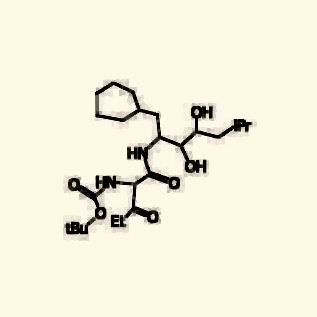 CCC(=O)C(NC(=O)OC(C)(C)C)C(=O)NC(CC1CCCCC1)C(O)C(O)CC(C)C